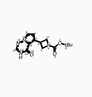 CC(C)(C)OC(=O)N1CC(c2ccn3nc[nH]c(=O)c23)C1